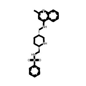 Cc1cc(NC[C@H]2CC[C@H](CNS(=O)(=O)c3ccccc3)NC2)c2ccccc2n1